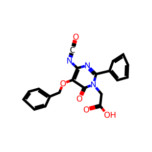 O=C=Nc1nc(-c2ccccc2)n(CC(=O)O)c(=O)c1OCc1ccccc1